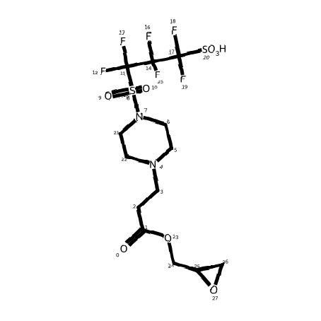 O=C(CCN1CCN(S(=O)(=O)C(F)(F)C(F)(F)C(F)(F)S(=O)(=O)O)CC1)OCC1CO1